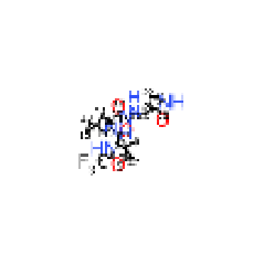 CC1([C@H](NC(=O)C(F)(F)F)C(=O)N2CC3(CC3)C[C@H]2C(=O)NNC[C@@H]2CCNC2=O)CC1